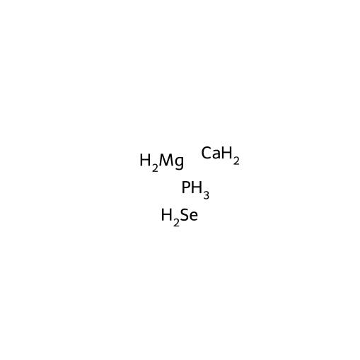 P.[CaH2].[MgH2].[SeH2]